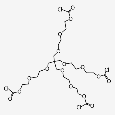 O=C(Cl)OCCOCCOCC(COCCOCCOC(=O)Cl)(COCCOCCOC(=O)Cl)COCCOCCOC(=O)Cl